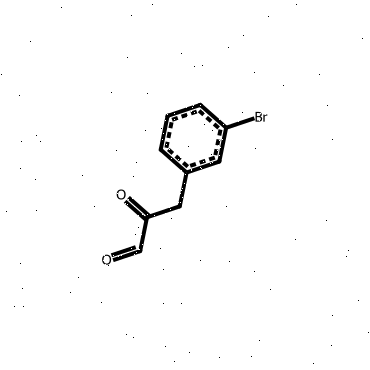 O=CC(=O)Cc1cccc(Br)c1